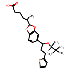 CC(CCCC(=O)O)C1Oc2ccc(C(CCc3cccs3)O[Si](C)(C)C(C)(C)C)cc2O1